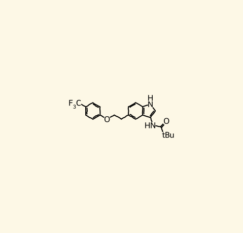 CC(C)(C)C(=O)Nc1c[nH]c2ccc(CCOc3ccc(C(F)(F)F)cc3)cc12